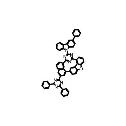 c1ccc(-c2ccc3c(c2)c2ccccc2n3-c2nc(-c3ccccc3)nc(-c3cccc4oc5ccc(-c6cccc(-c7nc(-c8ccccc8)nc(-c8ccccc8)n7)c6)cc5c34)n2)cc1